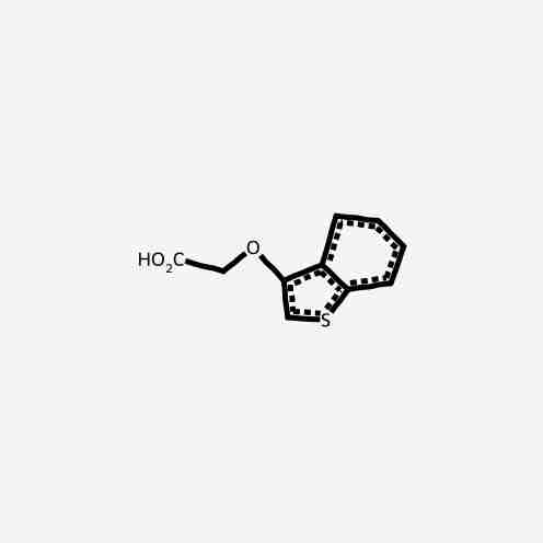 O=C(O)COc1csc2ccccc12